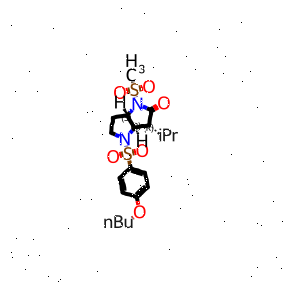 CCCCOc1ccc(S(=O)(=O)N2CC[C@H]3[C@H]2[C@@H](C(C)C)C(=O)N3S(C)(=O)=O)cc1